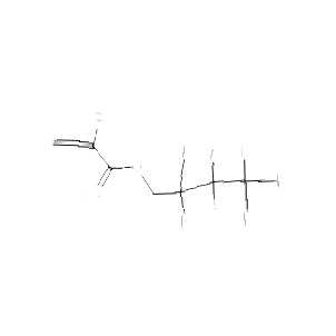 C=C(F)C(=O)OCC(F)(F)C(F)(F)C(F)(F)F